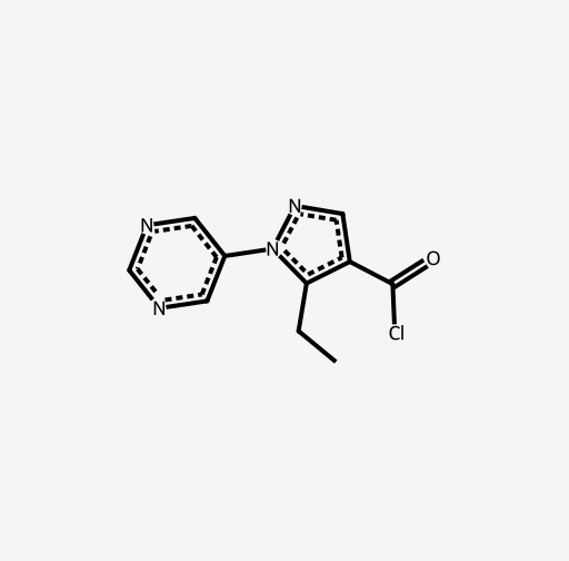 CCc1c(C(=O)Cl)cnn1-c1cncnc1